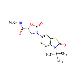 CNC(=O)[C@H]1CN(c2ccc3c(c2)sc(=O)n3C(C)(C)C)C(=O)O1